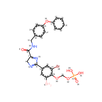 Bc1cc(C2=NCC(C(=O)NCc3ccc(Oc4ccccc4)cc3)=N2)cc(Br)c1OCOP(=O)(O)O